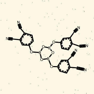 N#Cc1ccc(OB2OB(Oc3ccc(C#N)c(C#N)c3)OB(Oc3ccc(C#N)c(C#N)c3)O2)cc1C#N